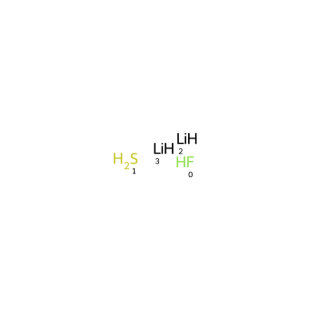 F.S.[LiH].[LiH]